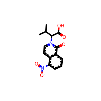 CC(C)C(C(=O)O)n1ccc2c([N+](=O)[O-])cccc2c1=O